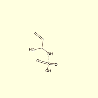 C=CC(O)NS(=O)(=O)O